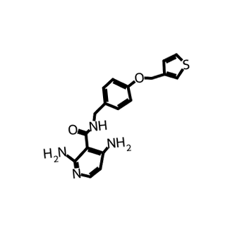 Nc1ccnc(N)c1C(=O)NCc1ccc(OCc2ccsc2)cc1